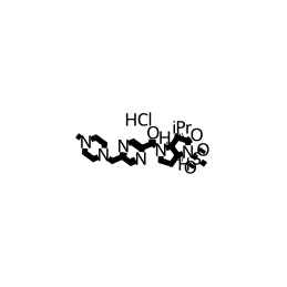 CC(C)[C@H]1C(=O)N(S(C)(=O)=O)[C@H]2CCN(C(=O)c3cnc(CN4CCN(C)CC4)cn3)[C@H]12.Cl